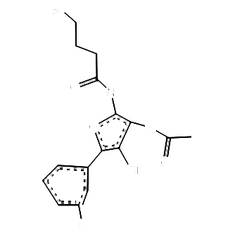 CC(=O)Oc1c(NC(=O)CCCBr)oc(-c2cccc(Cl)c2)c1O